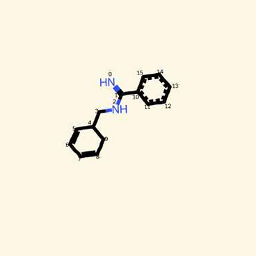 N=C(NCC1C=CC=CC1)c1ccccc1